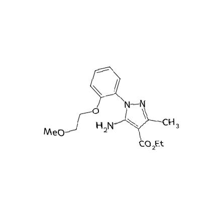 CCOC(=O)c1c(C)nn(-c2ccccc2OCCOC)c1N